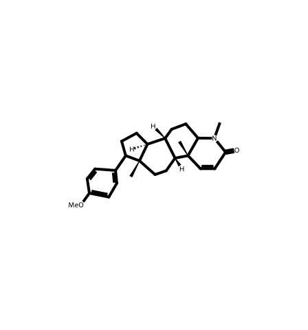 COc1ccc(C2CC[C@H]3[C@@H]4CCC5N(C)C(=O)C=C[C@]5(C)[C@@H]4CC[C@]23C)cc1